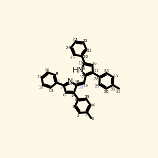 Cc1ccc(C2=CC(c3ccccc3)=N/C2=C\c2[nH]c(-c3ccccc3)cc2-c2ccc(C)cc2)cc1